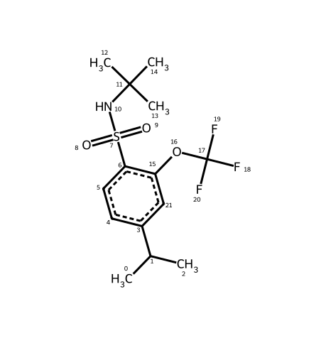 CC(C)c1ccc(S(=O)(=O)NC(C)(C)C)c(OC(F)(F)F)c1